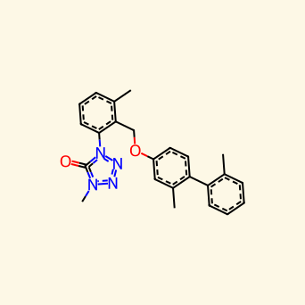 Cc1ccccc1-c1ccc(OCc2c(C)cccc2-n2nnn(C)c2=O)cc1C